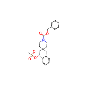 CS(=O)(=O)OC1=CC2(CCN(C(=O)OCc3ccccc3)CC2)Cc2ccccc21